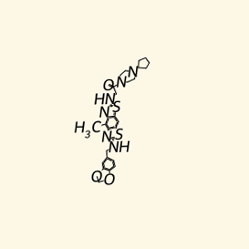 Cc1c2nc(NCC(=O)N3CCN(C4CCCC4)CC3)sc2cc2sc(NCc3ccc4c(c3)OCO4)nc12